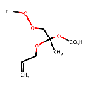 C=CCOC(C)(COOC(C)(C)C)OC(=O)O